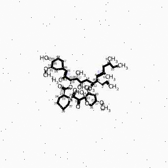 C=CC[C@H](/C=C(\C)C[C@H](C)CC)C(=O)C[C@H](O)[C@@H](C)[C@H](OC(=O)[C@@H]1CCCCN1C(=O)C(=O)[C@]1(O)OC[C@@H](OC)C[C@H]1C)/C(C)=C/C1CC[C@@H](O)[C@H](OC)C1